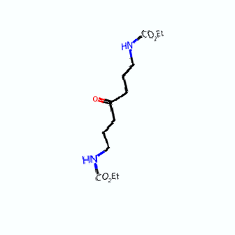 CCOC(=O)NCCCC(=O)CCCNC(=O)OCC